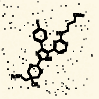 COCCCNc1nccc(-c2[nH]c(C3OCC(C)(CNC(C)=O)CO3)nc2-c2ccc(F)cc2)n1